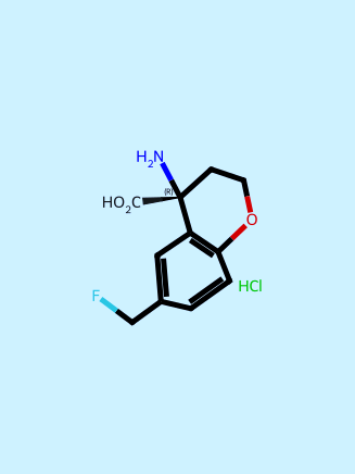 Cl.N[C@]1(C(=O)O)CCOc2ccc(CF)cc21